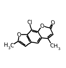 Cc1cc2cc3c(C)cc(=O)oc3c(Cl)c2o1